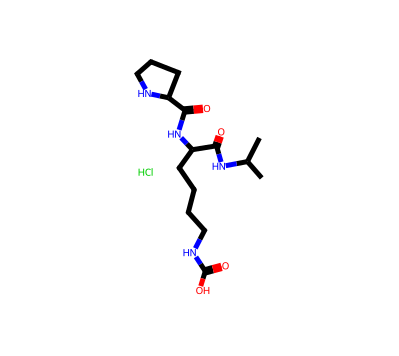 CC(C)NC(=O)C(CCCCNC(=O)O)NC(=O)C1CCCN1.Cl